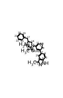 Cc1n[nH]c2ccc(-c3cncc(N(CC(N)Cc4ccccc4)S(C)(=O)=O)c3)cc12